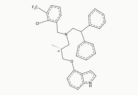 C[C@@H](COc1cccc2[nH]ccc12)CN(Cc1cccc(C(F)(F)F)c1Cl)CC(c1ccccc1)c1ccccc1